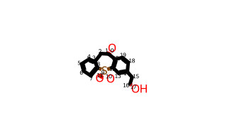 O=C1Cc2ccccc2S(=O)(=O)c2cc(CCO)ccc21